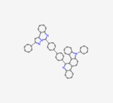 c1ccc(-c2cc3c4ccccc4nc(-c4ccc(-c5ccc(-c6nc7ccccc7c7ccc8c(c9ccccc9n8-c8ccccc8)c67)cc5)cc4)n3n2)cc1